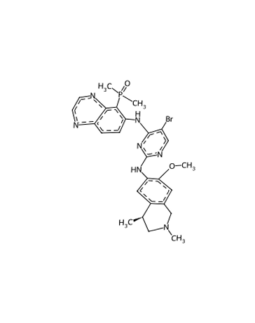 COc1cc2c(cc1Nc1ncc(Br)c(Nc3ccc4nccnc4c3P(C)(C)=O)n1)[C@H](C)CN(C)C2